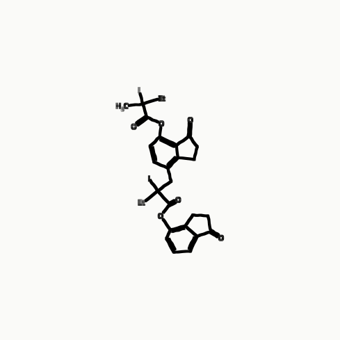 CCC(C)(I)C(=O)Oc1ccc(CC(I)(CC)C(=O)Oc2cccc3c2CCC3=O)c2c1C(=O)CC2